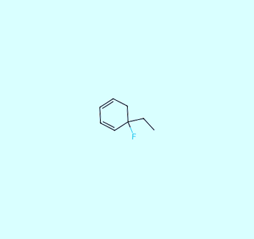 CCC1(F)C=CC=CC1